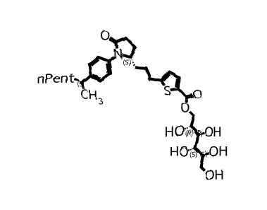 CCCCC[C@H](C)c1ccc(N2C(=O)CC[C@@H]2CCCc2ccc(C(=O)OC[C@@H](O)[C@@H](O)[C@@H](O)[C@@H](O)CO)s2)cc1